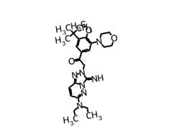 CCN(CC)c1ccc2nn(CC(=O)c3cc(N4CCOCC4)c(OC)c(C(C)(C)C)c3)c(=N)n2n1